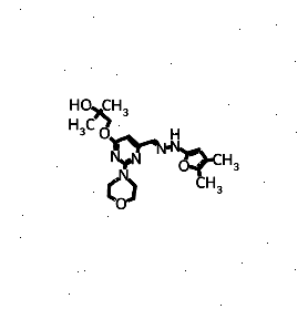 Cc1cc(NN=Cc2cc(OCC(C)(C)O)nc(N3CCOCC3)n2)oc1C